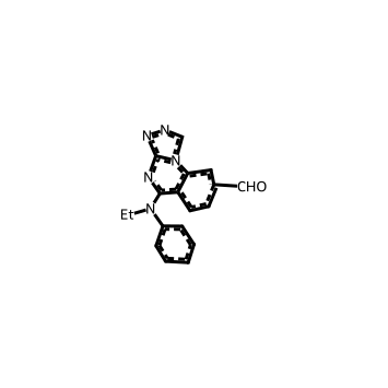 CCN(c1ccccc1)c1nc2nncn2c2cc(C=O)ccc12